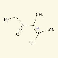 C/C(C#N)=C(/C)C(=O)CC(C)C